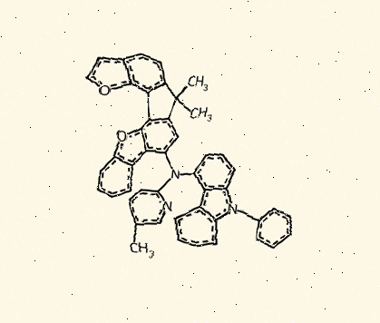 Cc1ccc(N(c2cc3c(c4oc5ccccc5c24)-c2c(ccc4ccoc24)C3(C)C)c2cccc3c2c2ccccc2n3-c2ccccc2)nc1